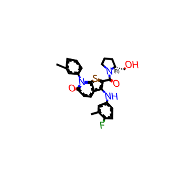 Cc1cccc(-n2c(=O)ccc3c(Nc4ccc(F)c(C)c4)c(C(=O)N4CCC[C@@H]4CO)sc32)c1